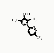 Cc1nn(-c2ccc(C(F)(F)F)nn2)c(C)c1C=O